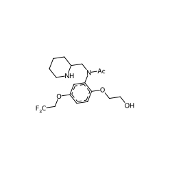 CC(=O)N(CC1CCCCN1)c1cc(OCC(F)(F)F)ccc1OCCO